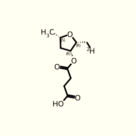 [2H]C[C@H]1O[C@@H](C)C[C@H]1OC(=O)CCC(=O)O